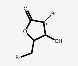 O=C1OC(CBr)C(O)[C@H]1Br